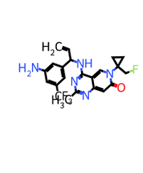 C=CC(Nc1nc(C)nc2cc(=O)n(C3(CF)CC3)cc12)c1cc(N)cc(C(F)(F)F)c1